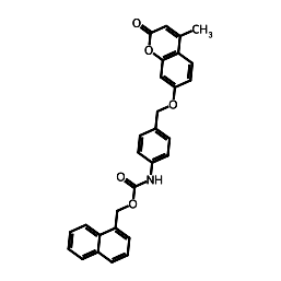 Cc1cc(=O)oc2cc(OCc3ccc(NC(=O)OCc4cccc5ccccc45)cc3)ccc12